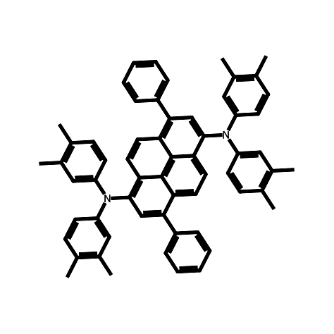 Cc1ccc(N(c2ccc(C)c(C)c2)c2cc(-c3ccccc3)c3ccc4c(N(c5ccc(C)c(C)c5)c5ccc(C)c(C)c5)cc(-c5ccccc5)c5ccc2c3c54)cc1C